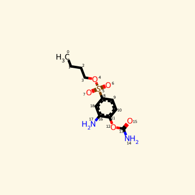 CCCCOS(=O)(=O)c1ccc(OC(N)=O)c(N)c1